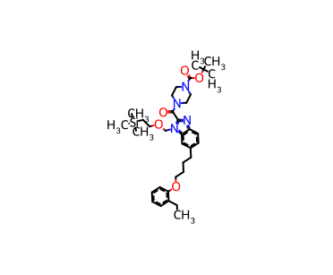 CCc1ccccc1OCCCCc1ccc2nc(C(=O)N3CCN(C(=O)OC(C)(C)C)CC3)n(COCC[Si](C)(C)C)c2c1